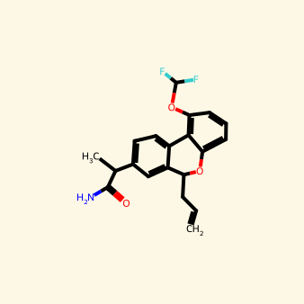 C=CCC1Oc2cccc(OC(F)F)c2-c2ccc(C(C)C(N)=O)cc21